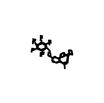 Cc1cc(=O)oc2cc(OCc3c(F)c(F)c(F)c(F)c3F)ccc12